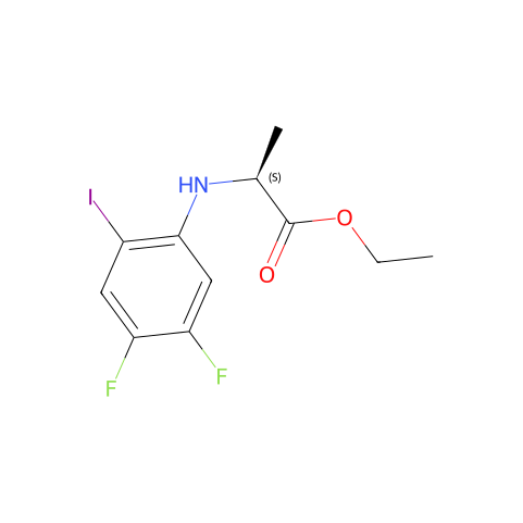 CCOC(=O)[C@H](C)Nc1cc(F)c(F)cc1I